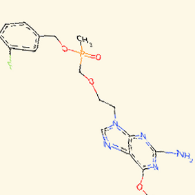 COc1nc(N)nc2c1ncn2CCOCP(C)(=O)OCc1cccc(F)c1